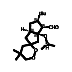 C[SiH](C)O[C@@]12CC3(C[C@H]1C[C@@H](C(C)(C)C)[C@H]2C=O)CC(C)(C)COO3